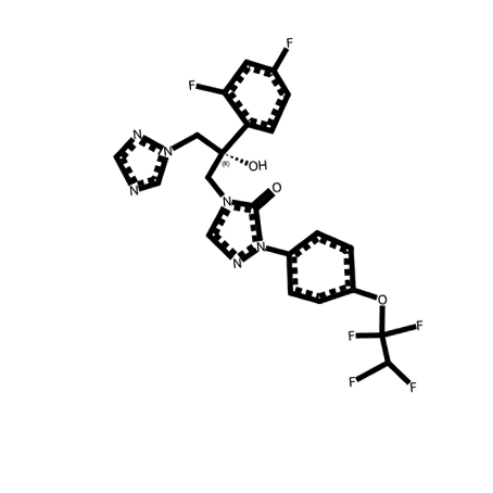 O=c1n(C[C@@](O)(Cn2cncn2)c2ccc(F)cc2F)cnn1-c1ccc(OC(F)(F)C(F)F)cc1